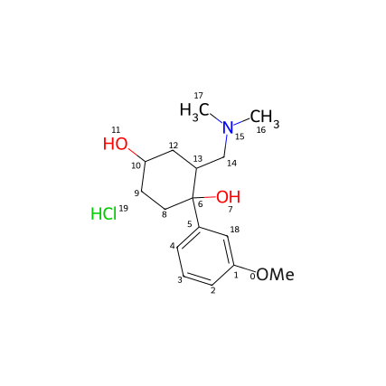 COc1cccc(C2(O)CCC(O)CC2CN(C)C)c1.Cl